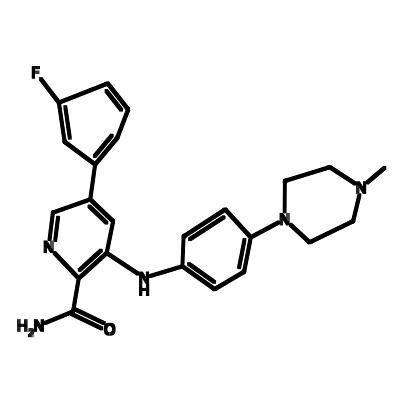 CN1CCN(c2ccc(Nc3cc(-c4cccc(F)c4)cnc3C(N)=O)cc2)CC1